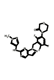 Cn1cc(Nc2ncc3cnn(Cc4c(F)c(F)cc(N5CCOCC5=O)c4F)c3n2)cn1